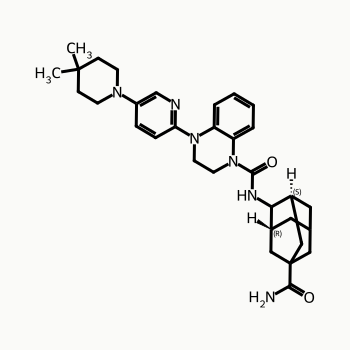 CC1(C)CCN(c2ccc(N3CCN(C(=O)NC4[C@@H]5CC6C[C@H]4CC(C(N)=O)(C6)C5)c4ccccc43)nc2)CC1